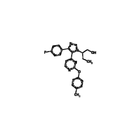 CCC(CO)n1cnc(-c2ccc(F)cc2)c1-c1ccnc(Oc2ccc(C)cc2)n1